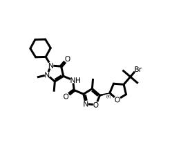 Cc1c(C(=O)Nc2c(C)n(C)n(C3CCCCC3)c2=O)noc1[C@H]1CC(C(C)(C)Br)CO1